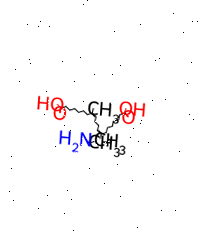 CC(=CCCC=C(C)CCCCCCC(=O)O)CCCCCCC(=O)O.CCN